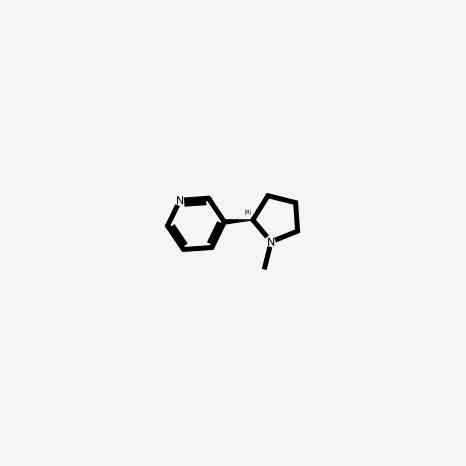 CN1CCC[C@@H]1c1[c]nccc1